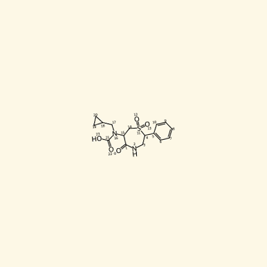 O=C1NCC(c2ccccc2)S(=O)(=O)CC1N(CC1CC1)C(=O)O